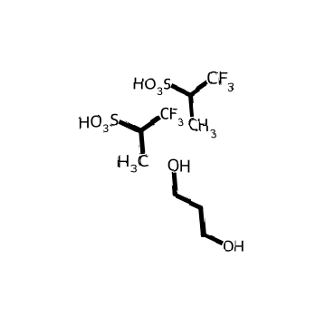 CC(C(F)(F)F)S(=O)(=O)O.CC(C(F)(F)F)S(=O)(=O)O.OCCCO